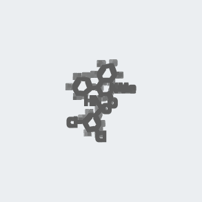 CNC(=O)C(NC(=O)c1cc(Cl)cc(Cl)c1)C(c1ccccc1)c1ccccc1